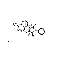 CC(C)[C@@H]1CSC[C@@H]2C1=CC[C@@H]1C(=O)N(c3ccccc3)C(=O)[C@@H]12